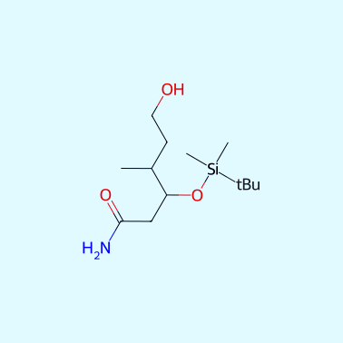 CC(CCO)C(CC(N)=O)O[Si](C)(C)C(C)(C)C